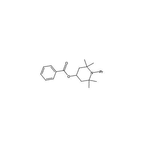 CC(C)N1C(C)(C)CC(OC(=O)c2ccccc2)CC1(C)C